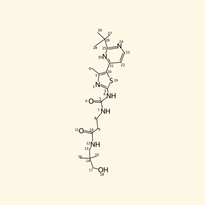 Cc1nc(NC(=O)NCCC(=O)NCC(C)(C)CO)sc1-c1ccnc(C(C)(C)C)n1